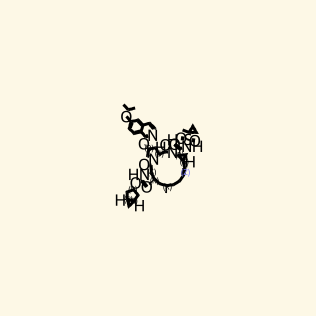 CC(C)Oc1ccc2c(O[C@@H]3C[C@H]4C(=O)N[C@]5(C(=O)NS(=O)(=O)C6(C)CC6)C[C@H]5/C=C\CC[C@@H](C)C[C@@H](C)[C@H](NC(=O)O[C@@H]5C[C@@H]6C[C@@H]6C5)C(=O)N4C3)nccc2c1